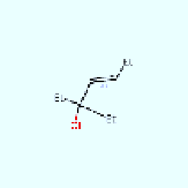 [CH2]C/C=C/C(O)(CC)CC